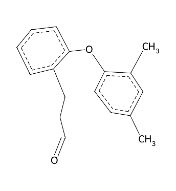 Cc1ccc(Oc2ccccc2CCC=O)c(C)c1